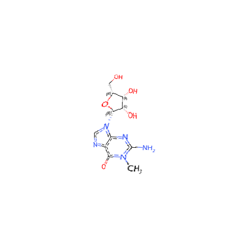 Cn1c(N)nc2c(ncn2[C@@H]2O[C@H](CO)[C@H](O)[C@@H]2O)c1=O